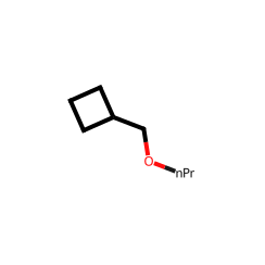 [CH2]CCOCC1CCC1